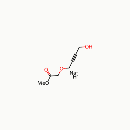 COC(=O)COCC#CCO.[H-].[Na+]